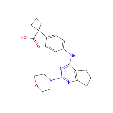 O=C(O)C1(c2ccc(Nc3nc(N4CCOCC4)nc4c3CCC4)cc2)CCC1